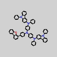 c1ccc(N(c2ccc(N(c3ccc(-c4cccc5c4oc4ccccc45)cc3)c3ccc(N(c4ccccc4)c4ccc5c(c4)c4ccccc4n5-c4ccccc4)cc3)cc2)c2ccc3c(c2)c2ccccc2n3-c2ccccc2)cc1